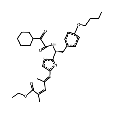 CCCCOc1ccc(C[C@H](NC(=O)C(=O)C2CCCCC2)c2nc(/C=C(C)/C=C(/C)C(=O)OCC)cs2)cc1